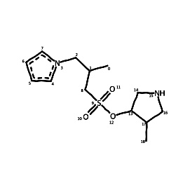 CC(Cn1cccc1)CS(=O)(=O)OC1CNCC1C